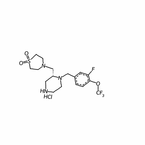 Cl.O=S1(=O)CCN(C[C@H]2CNCCN2Cc2ccc(OC(F)(F)F)c(F)c2)CC1